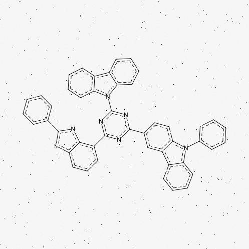 c1ccc(-c2nc3c(-c4nc(-c5ccc6c(c5)c5ccccc5n6-c5ccccc5)nc(-n5c6ccccc6c6ccccc65)n4)cccc3s2)cc1